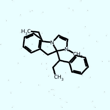 CCCN1C=CN(C)C1(Cc1ccccc1)C(CC)c1ccccc1